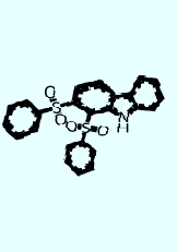 O=S(=O)(c1ccccc1)c1ccc2c([nH]c3ccccc32)c1S(=O)(=O)c1ccccc1